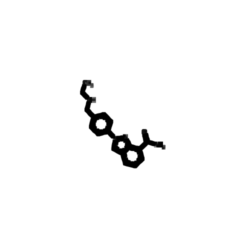 CCNCc1ccc(-n2cc3cccc(C(N)=O)c3n2)cc1